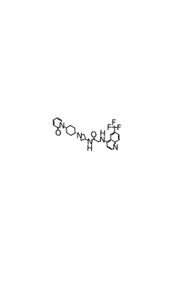 O=C(CNc1ccnc2ccc(C(F)(F)F)cc12)NC1CN([C@H]2CC[C@H](n3ccccc3=O)CC2)C1